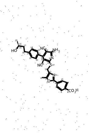 Cc1oc(-c2ccc(C(=O)O)cc2)nc1CSc1nc(N)c(C#N)c(-c2ccc(CC[C@H](C)O)cc2)c1C#N